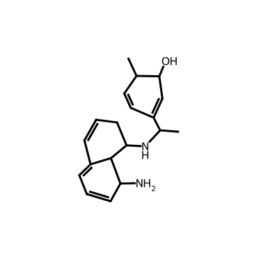 CC(NC1CC=CC2=CC=CC(N)C21)C1=CC(O)C(C)C=C1